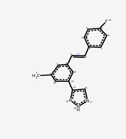 Cc1cc(/C=C/c2ccc(F)cc2)cc(-c2cn[nH]n2)c1